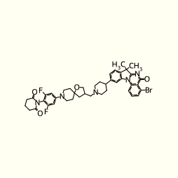 CC1(C)c2ccc(C3CCN(CC4COC5(CCN(c6cc(F)c(N7C(=O)CCCC7=O)c(F)c6)CC5)C4)CC3)cc2-n2c1nc(=O)c1c(Br)cccc12